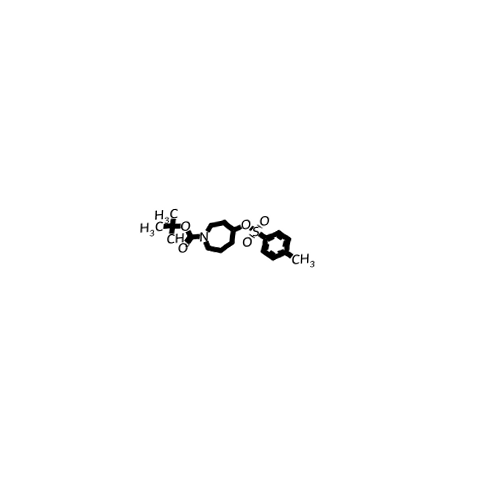 Cc1ccc(S(=O)(=O)OC2CCCN(C(=O)OC(C)(C)C)CC2)cc1